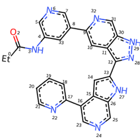 CCC(=O)Nc1cncc(-c2cc3c(-c4cc5c(-c6ccccn6)cncc5[nH]4)n[nH]c3cn2)c1